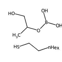 CC(CO)OB(O)O.CCCCCCCCS